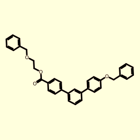 O=C(OCCOCc1ccccc1)c1ccc(-c2cccc(-c3ccc(OCc4ccccc4)cc3)c2)cc1